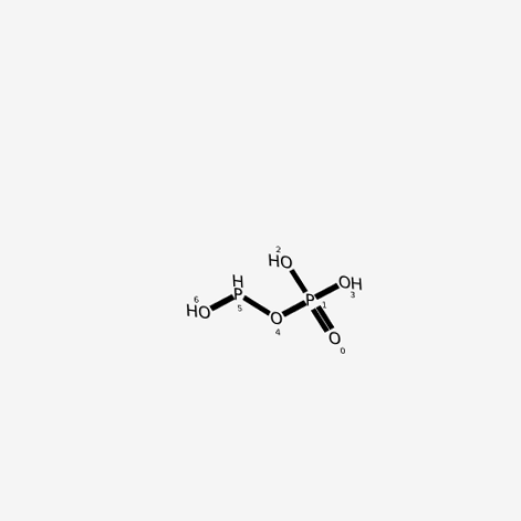 O=P(O)(O)OPO